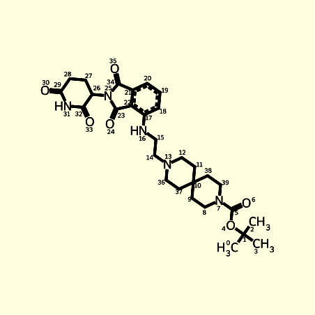 CC(C)(C)OC(=O)N1CCC2(CCN(CCNc3cccc4c3C(=O)N(C3CCC(=O)NC3=O)C4=O)CC2)CC1